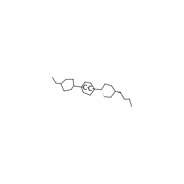 CCCC[C@H]1CC[C@H](C23CCC(C4CCC(CC)CC4)(CC2)CC3)CC1